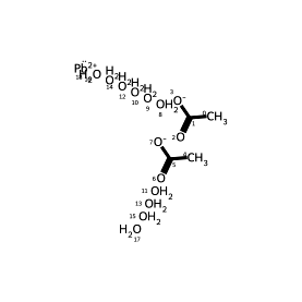 CC(=O)[O-].CC(=O)[O-].O.O.O.O.O.O.O.O.O.O.[Pb+2]